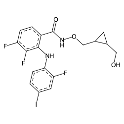 O=C(NOCC1CC1CO)c1ccc(F)c(F)c1Nc1ccc(I)cc1F